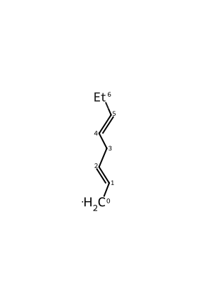 [CH2]C=CCC=CC[CH2]